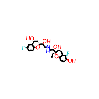 CC[C@@]1([C@@H](O)CNC[C@H](O)[C@H]2C[C@H](O)c3cc(F)ccc3O2)CCc2c(ccc(O)c2F)O1